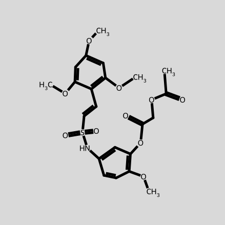 COc1cc(OC)c(/C=C/S(=O)(=O)Nc2ccc(OC)c(OC(=O)COC(C)=O)c2)c(OC)c1